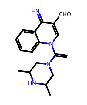 C=C(N1CC(C)NC(C)C1)n1cc(C=O)c(=N)c2ccccc21